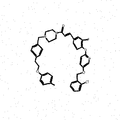 Cc1ccc(OCCc2ccc(CN3CCN(C(=O)C=Cc4ccc(Oc5ccc(OCc6ccccc6Cl)cn5)c(F)c4)CC3)cc2)cc1